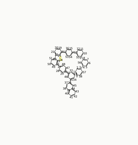 c1ccc(-c2cccc(-c3cccc(-c4ccc(-c5cccc6c5sc5c(-c7ccc(-c8cccc(-c9ccc%10ccccc%10c9)c8)cc7)cccc56)cc4)c3)c2)cc1